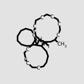 CC1CCCCCCCCCCCC2(S)C(I)(C1)C1CCCCCCCCCCCC12C1(C)CCCCCCCCC1